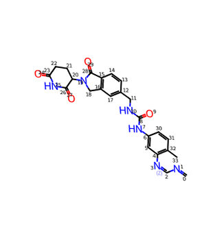 C=N/C=N\c1cc(NC(=O)NCc2ccc3c(c2)CN(C2CCC(=O)NC2=O)C3=O)ccc1C